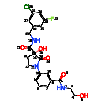 O=C(NCCO)c1cccc(N2CC[C@@](O)(C(=O)NCc3cc(F)cc(Cl)c3)C2=O)c1